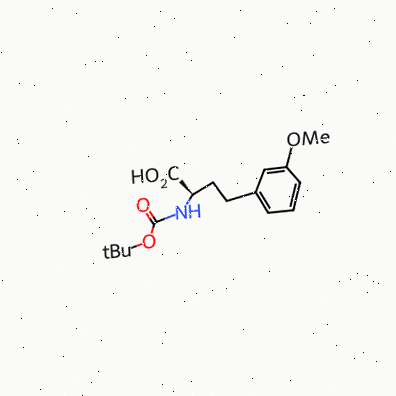 COc1cccc(CC[C@@H](NC(=O)OC(C)(C)C)C(=O)O)c1